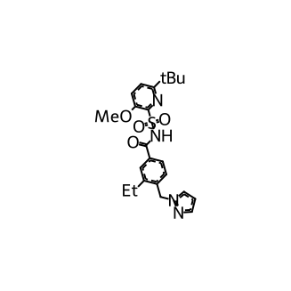 CCc1cc(C(=O)NS(=O)(=O)c2nc(C(C)(C)C)ccc2OC)ccc1Cn1cccn1